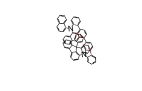 c1ccc(C2(c3ccccc3)c3ccccc3-c3cccc(-n4c5ccccc5c5ccc(-c6ccc(-c7ccccc7N(c7cccc8ccccc78)c7cccc8ccccc78)cc6)cc54)c32)cc1